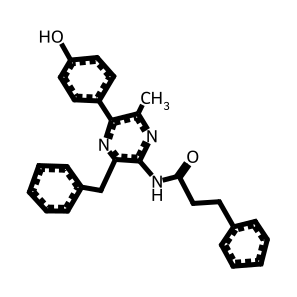 Cc1nc(NC(=O)CCc2ccccc2)c(Cc2ccccc2)nc1-c1ccc(O)cc1